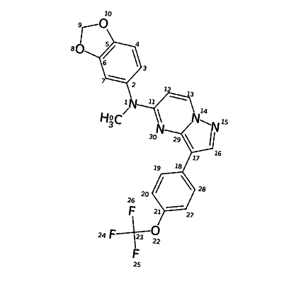 CN(c1ccc2c(c1)OCO2)c1ccn2ncc(-c3ccc(OC(F)(F)F)cc3)c2n1